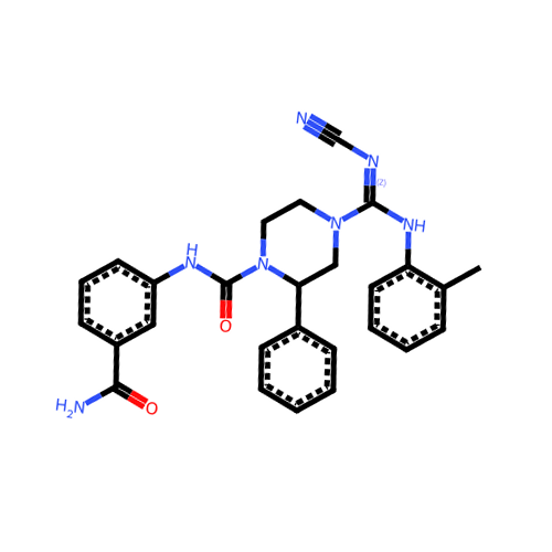 Cc1ccccc1N/C(=N/C#N)N1CCN(C(=O)Nc2cccc(C(N)=O)c2)C(c2ccccc2)C1